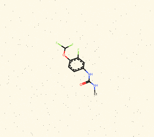 CCNC(=O)Nc1ccc(OC(F)F)c(F)c1